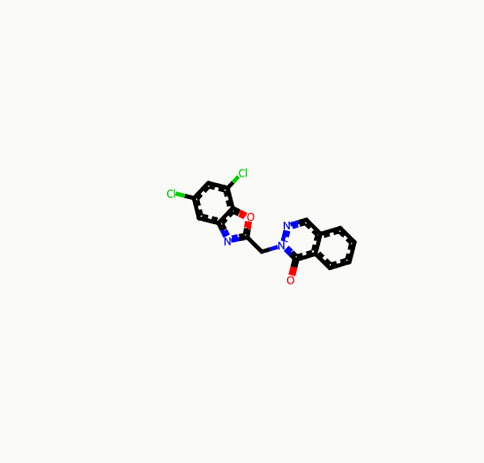 O=c1c2ccccc2cnn1Cc1nc2cc(Cl)cc(Cl)c2o1